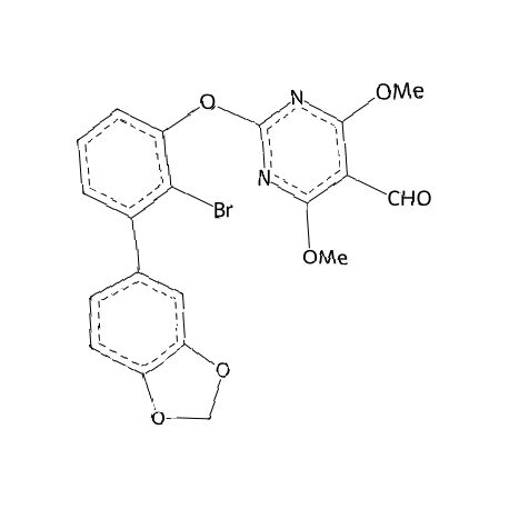 COc1nc(Oc2cccc(-c3ccc4c(c3)OCO4)c2Br)nc(OC)c1C=O